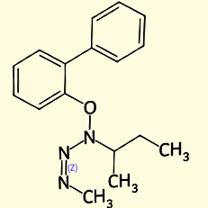 CCC(C)N(/N=N\C)Oc1ccccc1-c1ccccc1